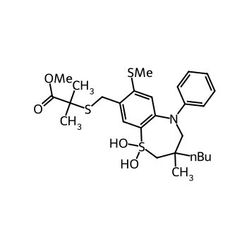 CCCCC1(C)CN(c2ccccc2)c2cc(SC)c(CSC(C)(C)C(=O)OC)cc2S(O)(O)C1